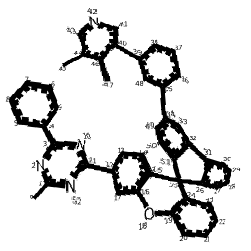 Cc1nc(-c2ccccc2)nc(-c2ccc3c(c2)Oc2ccccc2C32c3ccccc3-c3cc(-c4cccc(-c5cncc(C)c5C)c4)ccc32)n1